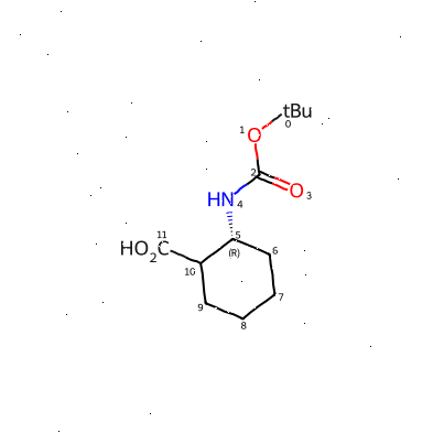 CC(C)(C)OC(=O)N[C@@H]1CCCCC1C(=O)O